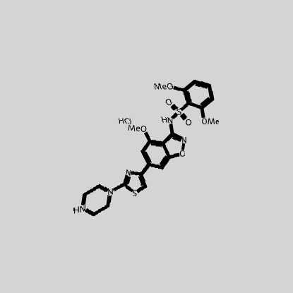 COc1cccc(OC)c1S(=O)(=O)Nc1noc2cc(-c3csc(N4CCNCC4)n3)cc(OC)c12.Cl